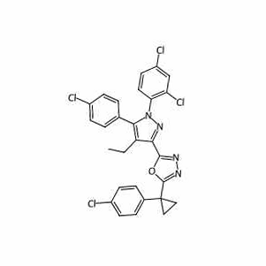 CCc1c(-c2nnc(C3(c4ccc(Cl)cc4)CC3)o2)nn(-c2ccc(Cl)cc2Cl)c1-c1ccc(Cl)cc1